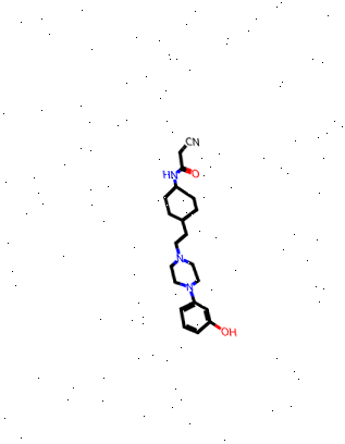 N#CCC(=O)NC1CCC(CCN2CCN(c3cccc(O)c3)CC2)CC1